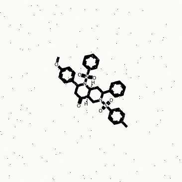 COc1ccc(C2CC(=O)[C@@H]3CN(S(=O)(=O)c4ccc(C)cc4)C(c4ccccc4)C[C@@H]3N2S(=O)(=O)c2ccccc2)cc1